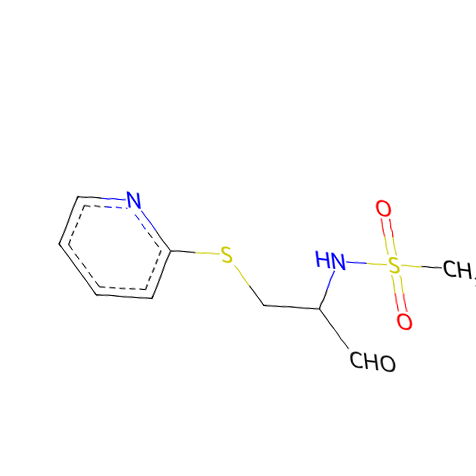 CS(=O)(=O)NC(C=O)CSc1ccccn1